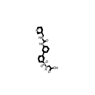 O=C(O)CNS(=O)(=O)c1cccc(-c2cccc(NC(=O)NCc3cccnc3)c2)c1